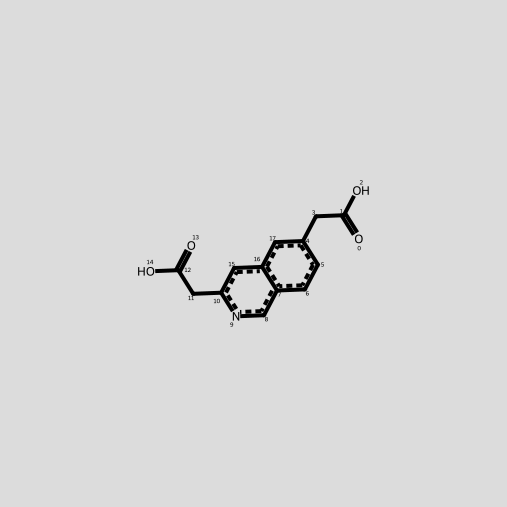 O=C(O)Cc1ccc2cnc(CC(=O)O)cc2c1